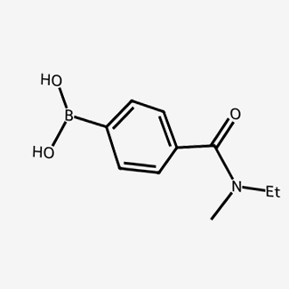 CCN(C)C(=O)c1ccc(B(O)O)cc1